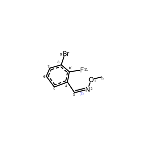 CO/N=C\c1cccc(Br)c1F